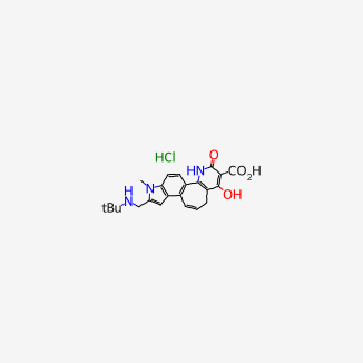 Cl.Cn1c(CNC(C)(C)C)cc2c3c(ccc21)-c1[nH]c(=O)c(C(=O)O)c(O)c1CC=C3